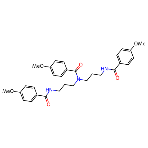 COc1ccc(C(=O)NCCCN(CCCNC(=O)c2ccc(OC)cc2)C(=O)c2ccc(OC)cc2)cc1